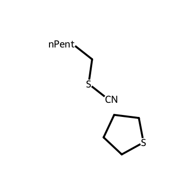 C1CCSC1.CCCCCCSC#N